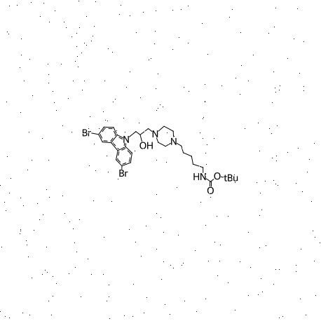 CC(C)(C)OC(=O)NCCCCCN1CCN(CC(O)Cn2c3ccc(Br)cc3c3cc(Br)ccc32)CC1